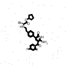 CC[C@H](C)[C@H](NCCc1ccc(-c2cc(C(=O)c3ccc(F)cc3F)c(N)[nH]c2=O)cc1)C(=O)OC1CCCC1